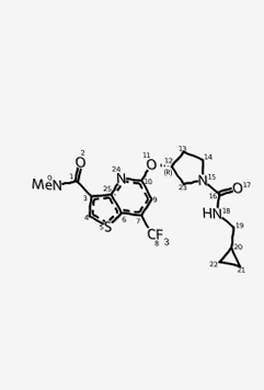 CNC(=O)c1csc2c(C(F)(F)F)cc(O[C@@H]3CCN(C(=O)NCC4CC4)C3)nc12